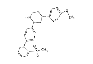 COc1ccc(C2CCNC(c3ccc(-c4ccccc4S(C)(=O)=O)cc3)C2)cc1